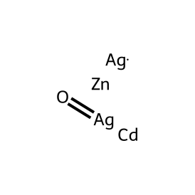 [Ag].[Cd].[O]=[Ag].[Zn]